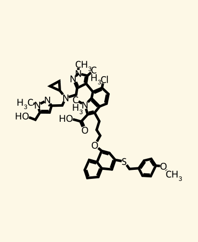 COc1ccc(CSc2cc(OCCCc3c(C(=O)O)n(C)c4c(-c5c(CN(Cc6cc(CO)n(C)n6)C6CC6)nn(C)c5C)c(Cl)ccc34)c3ccccc3c2)cc1